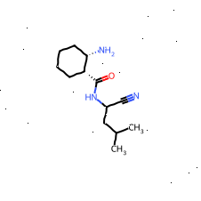 CC(C)CC(C#N)NC(=O)[C@@H]1CCCC[C@@H]1N